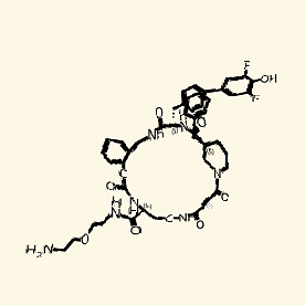 NCCOCCNC(=O)[C@@H]1CCNC(=O)/C=C/C(=O)N2CCC[C@](Cc3ccccc3)(C2)C(=O)N[C@@H](Cc2ccc(-c3cc(F)c(O)c(F)c3)cc2)C(=O)NCc2ccccc2CC(=O)N1